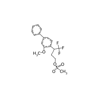 COc1cc(-c2ccccc2)ccc1C(CCOS(C)(=O)=O)C(F)(F)F